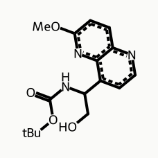 COc1ccc2nccc(C(CO)NC(=O)OC(C)(C)C)c2n1